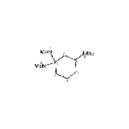 CNC1C[CH]CC(NC)(NC)C1